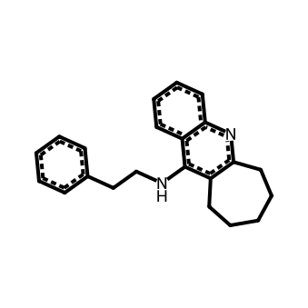 c1ccc(CCNc2c3c(nc4ccccc24)CCCCC3)cc1